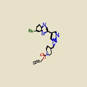 CC(C)(C)OC(=O)N1CCC(Cn2cc(-c3cnc4ccc(Br)cc4n3)cn2)CC1